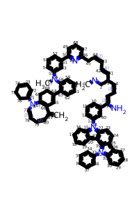 C=NCC(/C=C\C=C(/N)c1cccc(-n2c3ccccc3c3c2ccc2c4ccccc4n(-c4ccccc4)c23)c1)/C=C/C=C\Cc1cccc(-c2cccc(N(C)c3ccccc3C3=CC4=C(CC3)N(C3=CC=CCC3)/C=C\C=C/C4=C)c2)n1